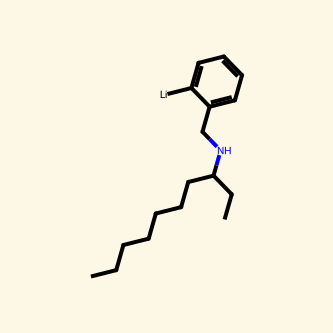 [Li][c]1ccccc1CNC(CC)CCCCCCC